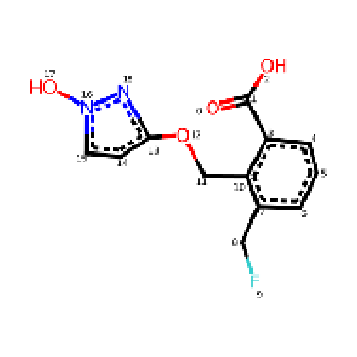 O=C(O)c1cccc(CF)c1COc1ccn(O)n1